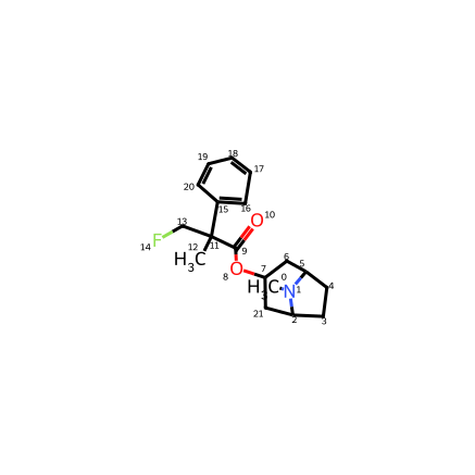 CN1C2CCC1CC(OC(=O)C(C)(CF)c1ccccc1)C2